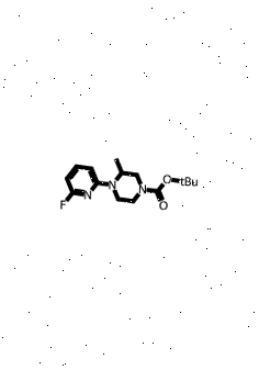 CC1CN(C(=O)OC(C)(C)C)CCN1c1cccc(F)n1